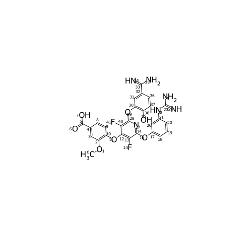 COc1cc(C(=O)O)ccc1Oc1c(F)c(Oc2cccc(NC(=N)N)c2)nc(Oc2cc(C(=N)N)ccc2O)c1F